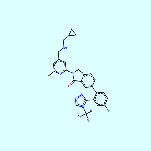 [2H]C([2H])([2H])n1cnnc1-c1cc(F)ccc1-c1ccc2c(c1)C(=O)N(c1cc(CNCC3CC3)cc(C)n1)C2